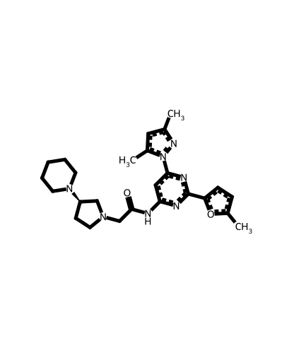 Cc1cc(C)n(-c2cc(NC(=O)CN3CC[C@@H](N4CCCCC4)C3)nc(-c3ccc(C)o3)n2)n1